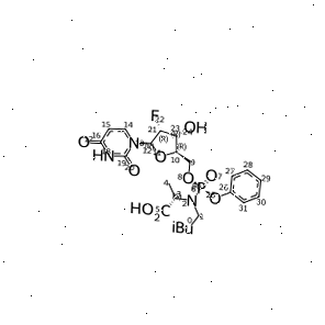 CCC(C)CN([C@@H](C)C(=O)O)[P@@](=O)(OC[C@H]1O[C@@H](n2ccc(=O)[nH]c2=O)[C@H](F)[C@@H]1O)Oc1ccccc1